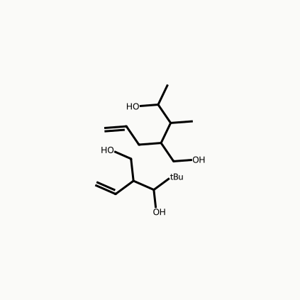 C=CC(CO)C(O)C(C)(C)C.C=CCC(CO)C(C)C(C)O